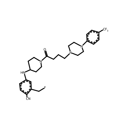 N#Cc1ccc(NC2CCN(C(=O)CCCN3CCN(c4ccc(C(F)(F)F)cc4)CC3)CC2)cc1CF